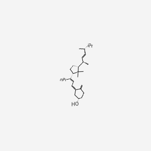 C=C1CC[C@H](O)C/C1=C/C=C(\CCC)[C@@H]1CC[C@H]([C@H](C)/C=C/[C@H](C)C(C)C)C1(C)C